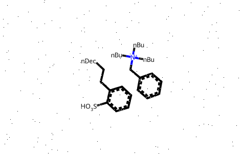 CCCCCCCCCCCCc1ccccc1S(=O)(=O)O.CCCC[N+](CCCC)(CCCC)Cc1ccccc1